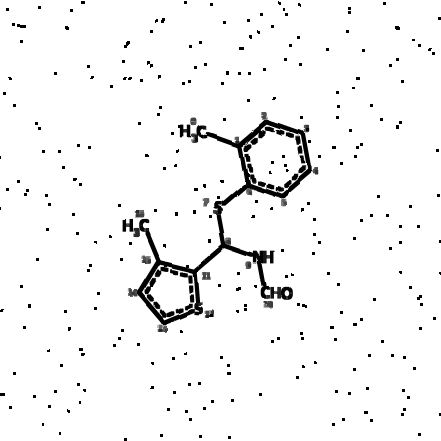 Cc1ccccc1SC(NC=O)c1sccc1C